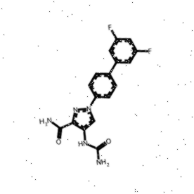 NC(=O)Nc1cn(-c2ccc(-c3cc(F)cc(F)c3)cc2)nc1C(N)=O